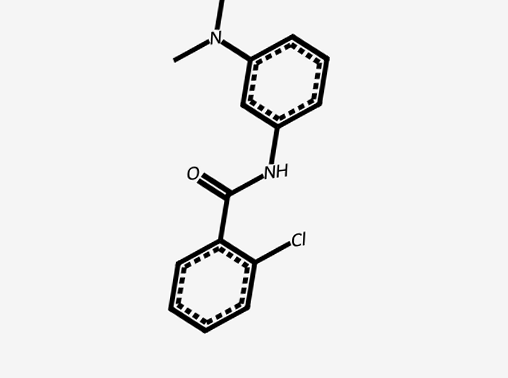 CN(C)c1cccc(NC(=O)c2ccccc2Cl)c1